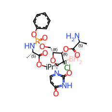 B[C@]1(Cl)[C@H](OC(=O)[C@H](C)N)[C@@H](COP(=O)(N[C@@H](C)C(=O)OC(C)C)Oc2ccccc2)O[C@H]1n1ccc(=O)[nH]c1=O